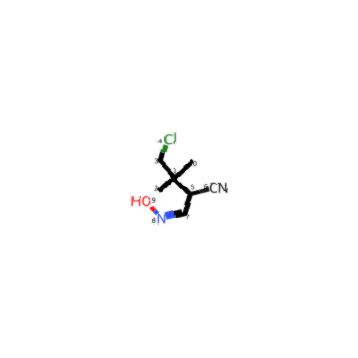 CC(C)(CCl)C(C#N)/C=N\O